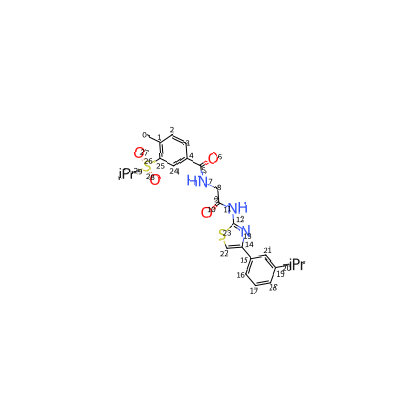 Cc1ccc(C(=O)NCC(=O)Nc2nc(-c3cccc(C(C)C)c3)cs2)cc1S(=O)(=O)C(C)C